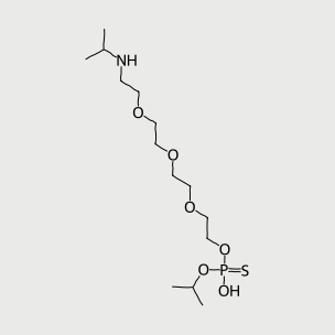 CC(C)NCCOCCOCCOCCOP(O)(=S)OC(C)C